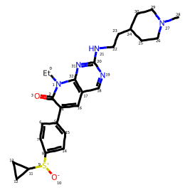 CCn1c(=O)c(-c2ccc([S+]([O-])C3CC3)cc2)cc2cnc(NCCC3CCN(C)CC3)nc21